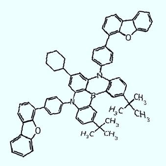 CC(C)(C)c1ccc2c(c1)B1c3cc(C(C)(C)C)ccc3N(c3ccc(-c4cccc5c4oc4ccccc45)cc3)c3cc(C4CCCCC4)cc(c31)N2c1ccc(-c2cccc3c2oc2ccccc23)cc1